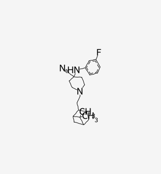 CC1(C)C2CCC(CCN3CCC(C#N)(Nc4cccc(F)c4)CC3)C1C2